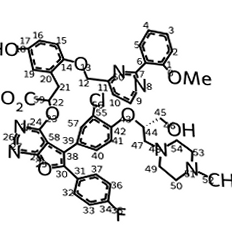 COc1ccccc1-c1nccc(COc2ccc(O)cc2CC(Oc2ncnc3oc(-c4ccc(F)cc4)c(-c4ccc(O[C@H](CO)CN5CCN(C)CC5)c(Cl)c4)c23)C(=O)O)n1